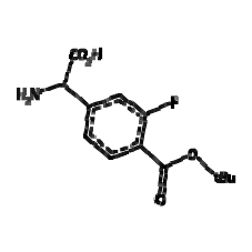 CC(C)(C)OC(=O)c1ccc(C(N)C(=O)O)cc1F